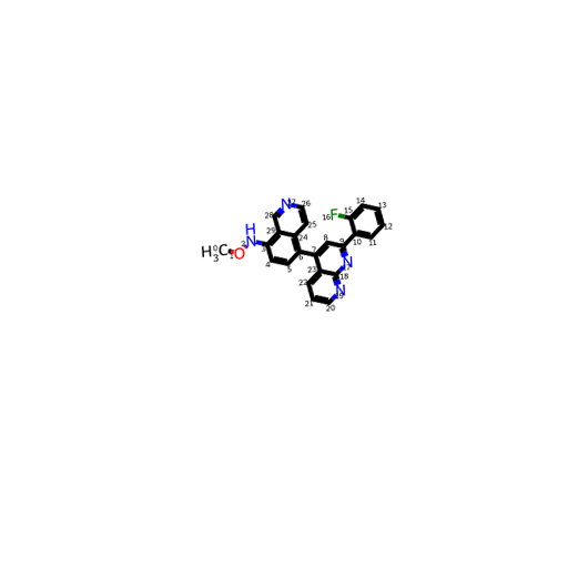 CONc1ccc(-c2cc(-c3ccccc3F)nc3ncccc23)c2ccncc12